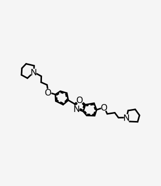 c1cc(-c2nc3ccc(OCCCN4CCCCC4)cc3o2)ccc1OCCCN1CCCCC1